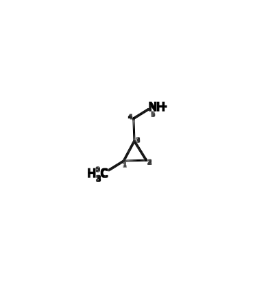 CC1CC1C[NH]